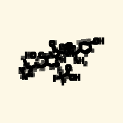 CO[C@@]1(NC(=O)C(N)c2ccc(O)cc2)C(=O)N2C(C(=O)O)=C(CSc3nnnn3C)CS[C@H]21.O=C(O)C(F)(F)F